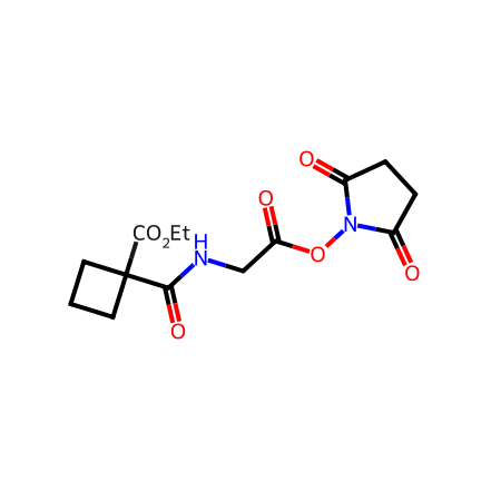 CCOC(=O)C1(C(=O)NCC(=O)ON2C(=O)CCC2=O)CCC1